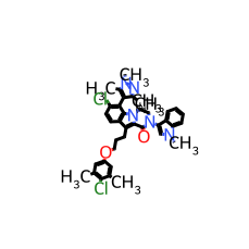 Cc1cc(OCCCc2c3n(c4c(-c5c(C)nn(C)c5C)c(Cl)ccc24)[C@H](C)CN(c2cn(C)c4ccccc24)C3=O)cc(C)c1Cl